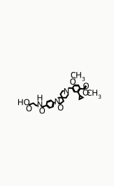 CCOc1cc(C(=O)OC)c(C2CC2)cc1CN1CCC2(CC1)CC(=O)N(c1ccc(C(=O)NCCC(=O)O)cc1)C2